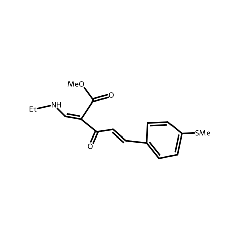 CCNC=C(C(=O)C=Cc1ccc(SC)cc1)C(=O)OC